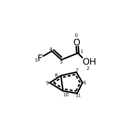 O=C(O)C=CF.c1cc2cc-2c1